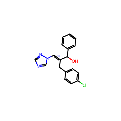 OC(/C(=C/n1cncn1)Cc1ccc(Cl)cc1)c1ccccc1